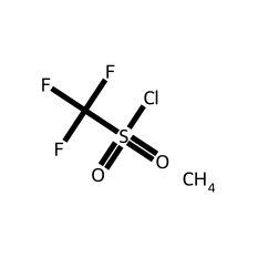 C.O=S(=O)(Cl)C(F)(F)F